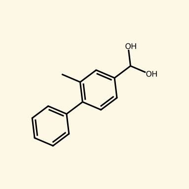 Cc1cc(C(O)O)ccc1-c1ccccc1